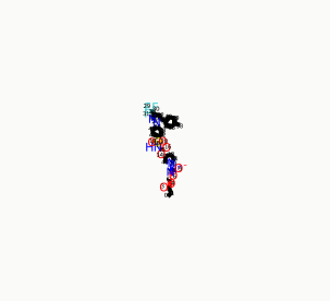 CCC(=O)OCON=[N+]([O-])N1CCC(OC(=O)NS(=O)(=O)c2ccc(-n3nc(C(F)(F)F)cc3-c3ccc(C)cc3)cc2)C1